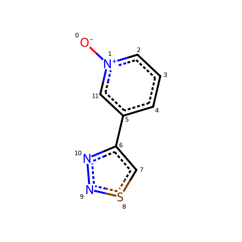 [O-][n+]1cccc(-c2csnn2)c1